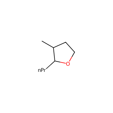 CCCC1OCCC1C